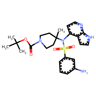 CC(C)(C)OC(=O)N1CCC(C)(N(c2ccnc3[nH]ccc23)S(=O)(=O)c2cccc(N)c2)CC1